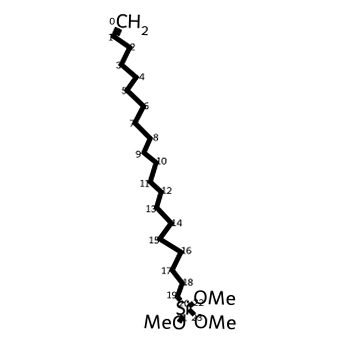 C=CCCCCCCCCCCCCCCCCCC[Si](OC)(OC)OC